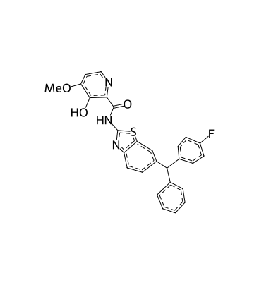 COc1ccnc(C(=O)Nc2nc3ccc(C(c4ccccc4)c4ccc(F)cc4)cc3s2)c1O